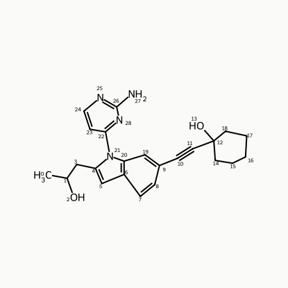 CC(O)Cc1cc2ccc(C#CC3(O)CCCCC3)cc2n1-c1ccnc(N)n1